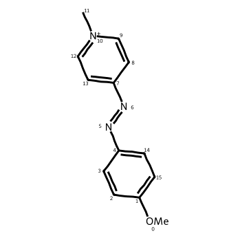 COc1ccc(/N=N/c2cc[n+](C)cc2)cc1